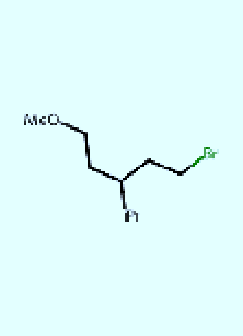 COCCC(CCBr)C(C)C